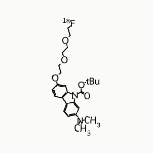 CN(C)c1ccc2c3ccc(OCCOCCOCC[18F])cc3n(C(=O)OC(C)(C)C)c2c1